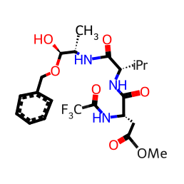 COC(=O)C[C@H](NC(=O)C(F)(F)F)C(=O)N[C@H](C(=O)N[C@@H](C)[C@H](O)OCc1ccccc1)C(C)C